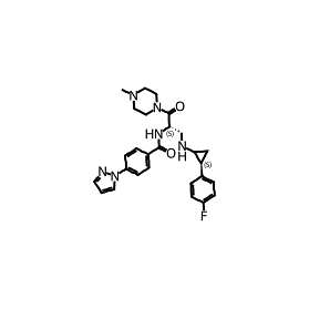 CN1CCN(C(=O)[C@H](CNC2C[C@H]2c2ccc(F)cc2)NC(=O)c2ccc(-n3cccn3)cc2)CC1